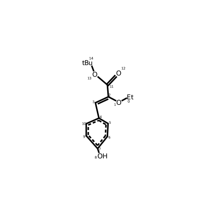 CCOC(=Cc1ccc(O)cc1)C(=O)OC(C)(C)C